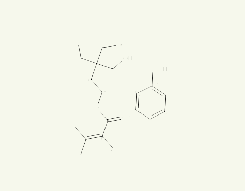 CC(C)=C(C)C(=O)OCCC(CO)(CO)CO.O=C(O)c1ccccc1